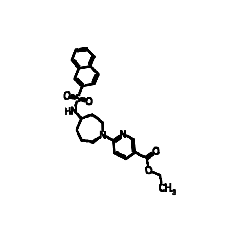 CCOC(=O)c1ccc(N2CCCC(NS(=O)(=O)c3ccc4ccccc4c3)CC2)nc1